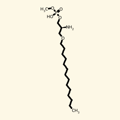 CCCCCCCCCCCCCCOC[C@H](N)COP(=O)(O)OC